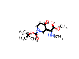 CN/C(C(=O)OC)=C1\CN(C(=O)OC(C)(C)C)CCC1=O